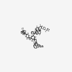 CCOC(=O)Cc1csc(NC(=O)c2cc(Oc3ccc(-c4nnc(C)o4)cc3)cc(OC(C)COC)c2)n1